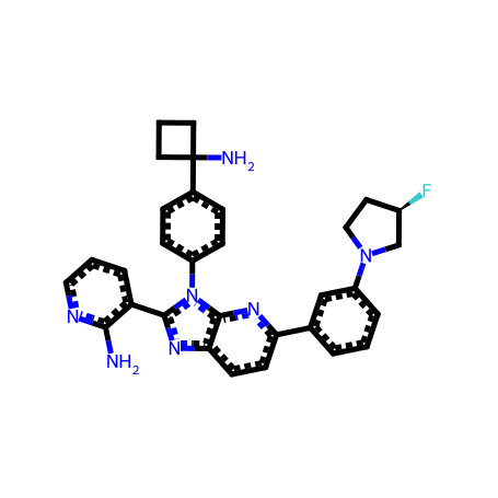 Nc1ncccc1-c1nc2ccc(-c3cccc(N4CC[C@@H](F)C4)c3)nc2n1-c1ccc(C2(N)CCC2)cc1